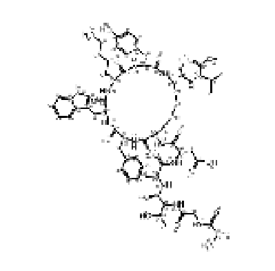 CC(C)[C@H](NC(=O)[C@@H]1CSSC[C@H](NC(=O)[C@H](CC(=O)O)NC(=O)[C@H](C)NC(=O)[C@@H](NC(=O)CNC(=O)[C@H](C)N)[C@@H](C)O)C(=O)N[C@@H](Cc2ccccc2)C(=O)N[C@@H](Cc2c[nH]c3ccccc23)C(=O)N[C@@H](CCCCN)C(=O)N[C@@H](Cc2ccc(O)cc2)C(=O)N1)C(=O)O